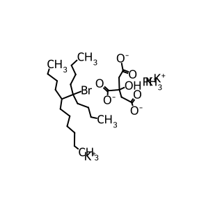 CCCCCCC(CCCC)C(Br)(CCCC)CCCC.O=C([O-])CC(O)(CC(=O)[O-])C(=O)[O-].P.[K+].[K+].[K+]